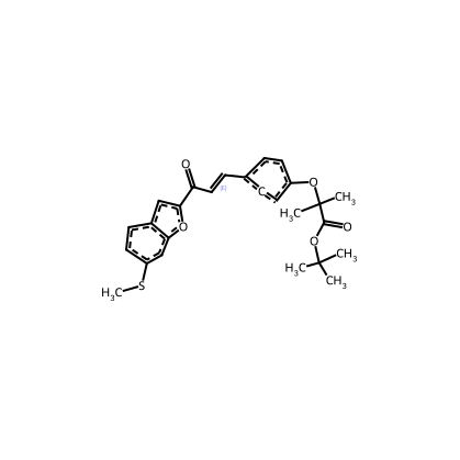 CSc1ccc2cc(C(=O)/C=C/c3ccc(OC(C)(C)C(=O)OC(C)(C)C)cc3)oc2c1